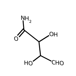 NC(=O)C(O)C(O)C=O